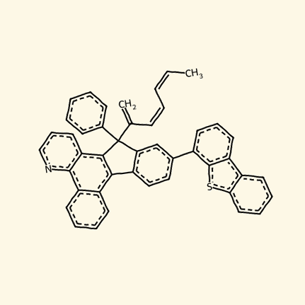 C=C(/C=C\C=C/C)C1(c2ccccc2)c2cc(-c3cccc4c3sc3ccccc34)ccc2-c2c1c1cccnc1c1ccccc21